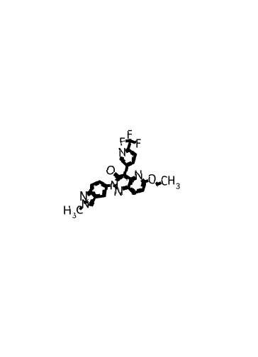 CCOc1ccc2nn(-c3ccc4nn(C)cc4c3)c(=O)c(-c3ccc(C(F)(F)F)nc3)c2n1